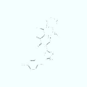 CN1C2COCCN2C(=O)c2c(O)c(=O)c(-c3nnc(Cc4ccc(F)cc4)s3)cn21